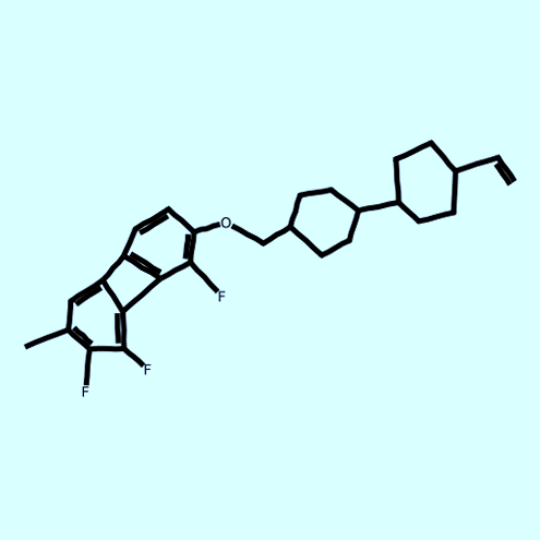 C=CC1CCC(C2CCC(COc3ccc4c(c3F)-c3c-4cc(C)c(F)c3F)CC2)CC1